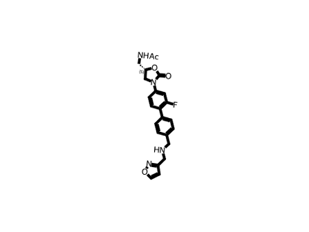 CC(=O)NC[C@H]1CN(c2ccc(-c3ccc(CNCc4ccon4)cc3)c(F)c2)C(=O)O1